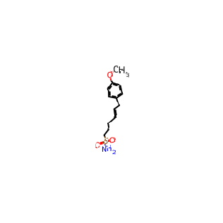 COc1ccc(CC=CCCCS(N)(=O)=O)cc1